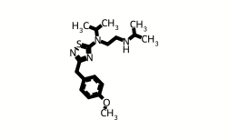 COc1ccc(Cc2nsc(N(CCNC(C)C)C(C)C)n2)cc1